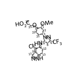 COc1cc(-n2nc(C(F)(F)F)cc2Nc2ccc3[nH]ncc3c2Cl)ccc1OCC(=O)O